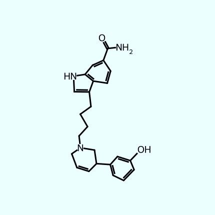 NC(=O)c1ccc2c(CCCCN3CC=CC(c4cccc(O)c4)C3)c[nH]c2c1